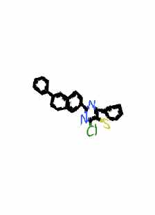 Clc1nc(-c2ccc3cc(-c4ccccc4)ccc3c2)nc2c1sc1ccccc12